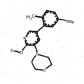 CCOc1ncc(-c2cc(NC)ccc2C)cc1N1CCOCC1